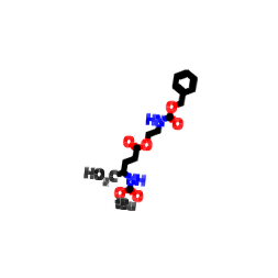 CC(C)(C)OC(=O)NC(CCC(=O)OCCNC(=O)OCc1ccccc1)C(=O)O